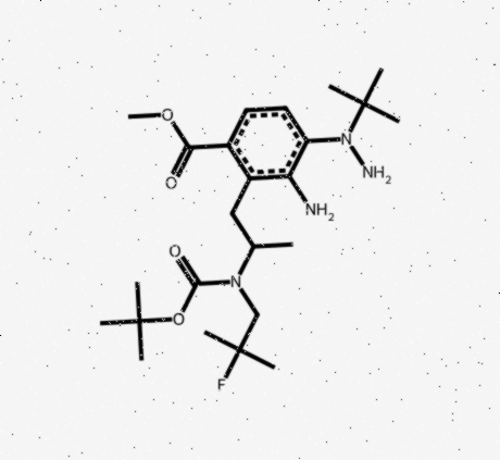 COC(=O)c1ccc(N(N)C(C)(C)C)c(N)c1CC(C)N(CC(C)(C)F)C(=O)OC(C)(C)C